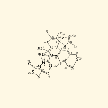 CCC1(CC)C2=C(c3cc4c(c(C)c3N1C(=O)NN1C(=O)CSC1=O)C=CSC4)C1(SC(C)=C(C)S1)C(C)=C(C)S2